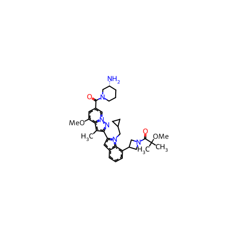 COc1cc(C(=O)N2CCC[C@@H](N)C2)cn2nc(-c3cc4cccc(C5CN(C(=O)C(C)(C)OC)C5)c4n3CC3CC3)c(C)c12